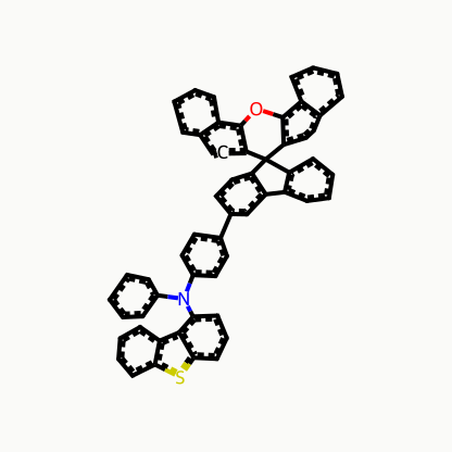 c1ccc(N(c2ccc(-c3ccc4c(c3)-c3ccccc3C43c4ccc5ccccc5c4Oc4c3ccc3ccccc43)cc2)c2cccc3sc4ccccc4c23)cc1